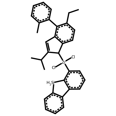 CCc1ccc2c(c1-c1ccccc1C)C=C(C(C)C)[CH]2[Zr]([Cl])([Cl])[c]1cccc2c1[SiH2]c1ccccc1-2